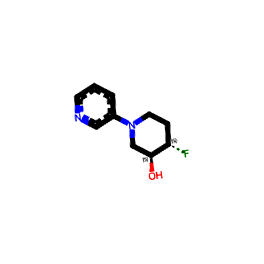 O[C@H]1CN(c2cccnc2)CC[C@@H]1F